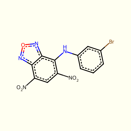 O=[N+]([O-])c1cc([N+](=O)[O-])c2nonc2c1Nc1cccc(Br)c1